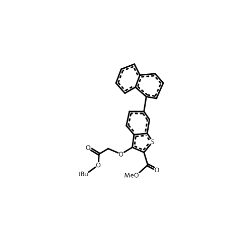 COC(=O)c1sc2cc(-c3cccc4ccccc34)ccc2c1OCC(=O)OC(C)(C)C